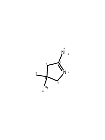 CC(C)C1(C)CN=C(N)C1